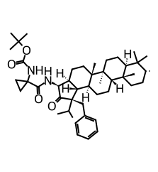 CC(C)[C@]1(Cc2ccccc2)C(=O)[C@@H](NC(=O)C2(NC(=O)OC(C)(C)C)CC2)[C@H]2CC[C@@]3(C)[C@@H](CC[C@H]4[C@@]5(C)CC[CH]C(C)(C)[C@@H]5CC[C@@]43C)[C@@H]21